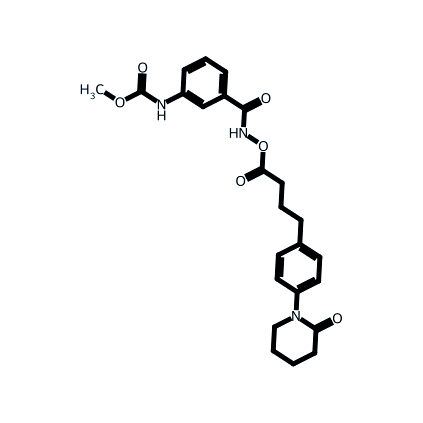 COC(=O)Nc1cccc(C(=O)NOC(=O)CCCc2ccc(N3CCCCC3=O)cc2)c1